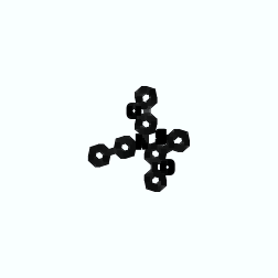 c1ccc(-c2ccc(N(c3ccc4c(c3)oc3ccccc34)c3cc4c5ccccc5oc4c4c3sc3ccccc34)cc2)cc1